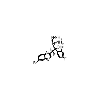 N/N=C\N(N)CC(O)(c1ccc(F)cc1F)C(F)(F)c1cnc2cc(Br)ccc2n1